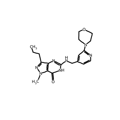 CCCc1nn(C)c2c(=O)[nH]c(NCc3ccnc(N4CCOCC4)c3)nc12